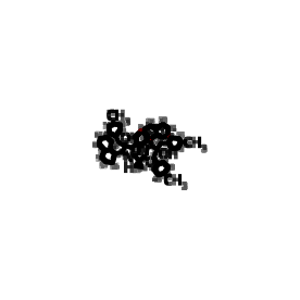 Cc1ccc(CC(O)(Cc2ccc(C)cc2)[C@@H](NC(=O)C2(C(=O)N[C@@H](c3cccc4ccccc34)C(O)(Cc3ccc(C)cc3)Cc3ccc(C)cc3)CC2)c2cccc3ccccc23)cc1